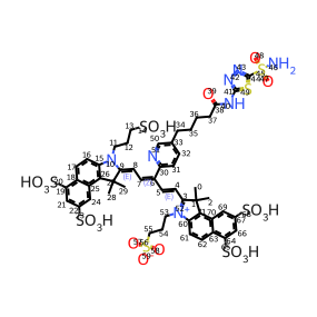 CC1(C)C(/C=C/C(=C/C=C2/N(CCCS(=O)(=O)O)c3ccc4c(S(=O)(=O)O)cc(S(=O)(=O)O)cc4c3C2(C)C)c2ccc(CCCCC(=O)Nc3nnc(S(N)(=O)=O)s3)cn2)=[N+](CCCS(=O)(=O)[O-])c2ccc3c(S(=O)(=O)O)cc(S(=O)(=O)O)cc3c21